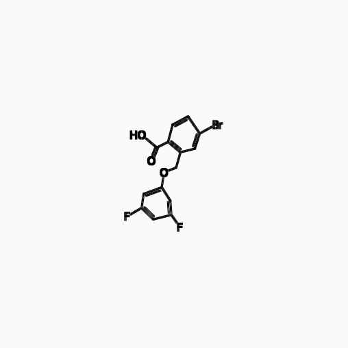 O=C(O)c1ccc(Br)cc1COc1cc(F)cc(F)c1